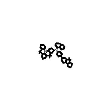 CC1(C)C2=C(C=CCC2)c2ccc(-c3ccc(N(c4cccc5ccccc45)C4C=CC5=C(C4)C(C)(C)c4cccc6c4N5c4ccccc4C6(C)C)cc3)cc21